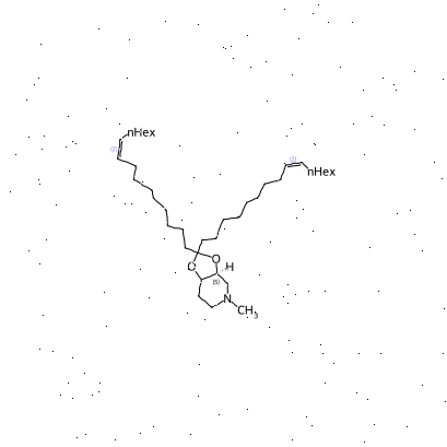 CCCCCC/C=C\CCCCCCCCC1(CCCCCCCC/C=C\CCCCCC)OC2CCN(C)C[C@@H]2O1